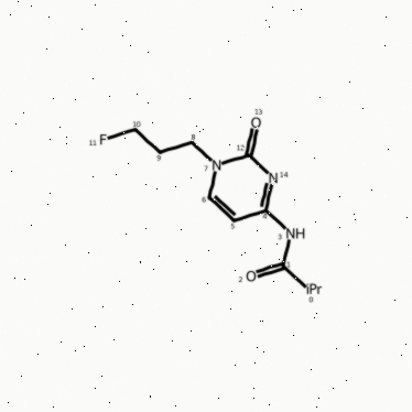 CC(C)C(=O)Nc1ccn(CCCF)c(=O)n1